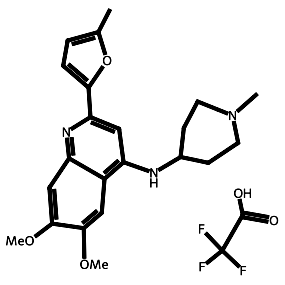 COc1cc2nc(-c3ccc(C)o3)cc(NC3CCN(C)CC3)c2cc1OC.O=C(O)C(F)(F)F